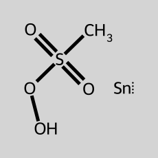 CS(=O)(=O)OO.[Sn]